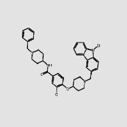 CCn1c2ccccc2c2cc(CN3CCC(Oc4ccc(C(=O)NC5CCN(Cc6ccccc6)CC5)cc4Cl)CC3)ccc21